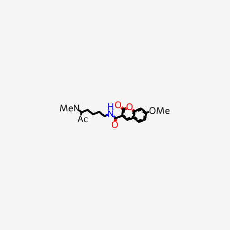 CNC(CCCCNC(=O)c1cc2ccc(OC)cc2oc1=O)C(C)=O